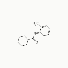 CC1=CC=CCC1=NC(=O)C1CCCCC1